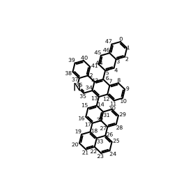 c1ccc2cc(-c3c4ccccc4c(-c4ccc5c6cccc7cccc(c8cccc4c85)c76)c4cnc5ccccc5c34)ccc2c1